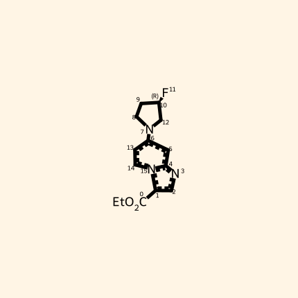 CCOC(=O)c1cnc2cc(N3CC[C@@H](F)C3)ccn12